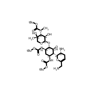 CN(C(=O)OC(C)(C)C)[C@@H]1[C@@H](O)[C@@H](O[C@H]2[C@H](NC(=O)OC(C)(C)C)C[C@H](NC(=O)OC(C)(C)C)C([C@H]3OC(CN)=CC[C@H]3N)[C@@H]2O)OC[C@]1(C)O